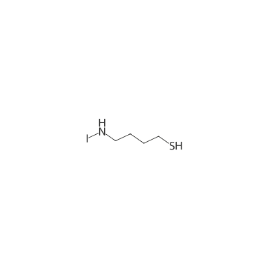 SCCCCNI